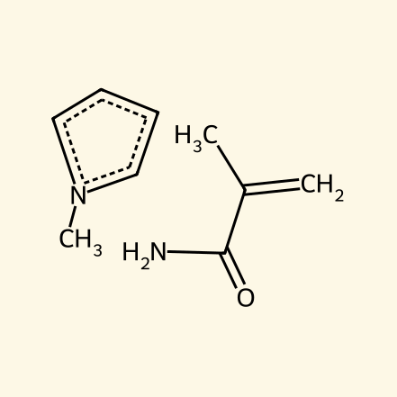 C=C(C)C(N)=O.Cn1cccc1